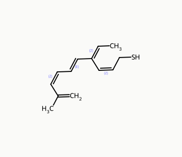 C=C(C)\C=C/C=C/C(/C=C\CS)=C/C